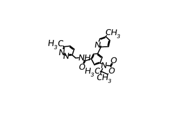 Cc1ccc(-c2cc(C(=O)NCc3ccc(C)nn3)cc(N3C(=O)OCC3(C)C)c2)nc1